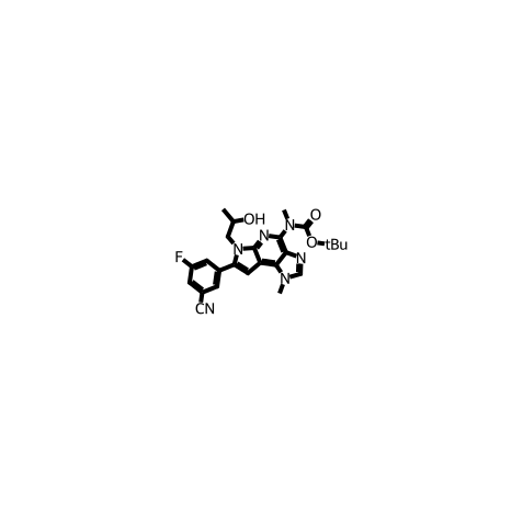 CC(O)Cn1c(-c2cc(F)cc(C#N)c2)cc2c3c(ncn3C)c(N(C)C(=O)OC(C)(C)C)nc21